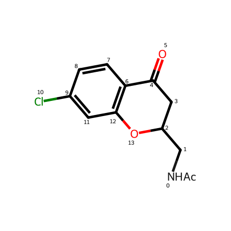 CC(=O)NCC1CC(=O)c2ccc(Cl)cc2O1